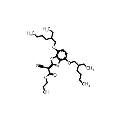 CCCCC(CC)COc1ccc(OCC(CC)CCCC)c2c1SC(=C(C#N)C(=O)OCCO)S2